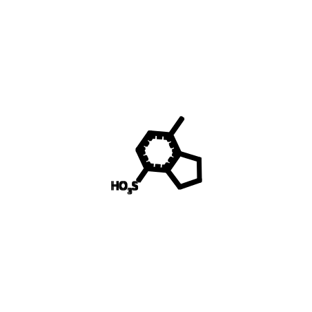 Cc1ccc(S(=O)(=O)O)c2c1CCC2